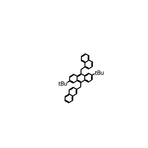 CC(C)(C)c1ccc2c(Cc3cccc4ccccc34)c3cc(C(C)(C)C)ccc3c(Cc3ccc4ccccc4c3)c2c1